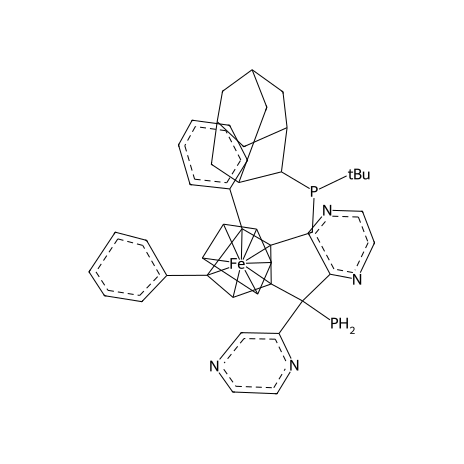 CC(C)(C)P(C[C]12[C]3(c4ccccc4)[C]4(c5ccccc5)[CH]5[C]1(C(P)(c1cnccn1)c1cnccn1)[Fe]54231678[CH]2[CH]1[CH]6[CH]7[CH]28)C1C2CC3CC(C2)CC1C3